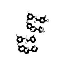 O=C(Nc1cc(F)cc(Oc2ccc3ncc(-c4cccnc4)nc3c2)c1)c1cccc(F)c1.O=C(Nc1cc(F)cc(Oc2ccc3ncc(-c4cn[nH]c4)nc3c2)c1)c1ccc(Cl)c(F)c1